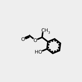 CC(O[C]=O)c1ccccc1O